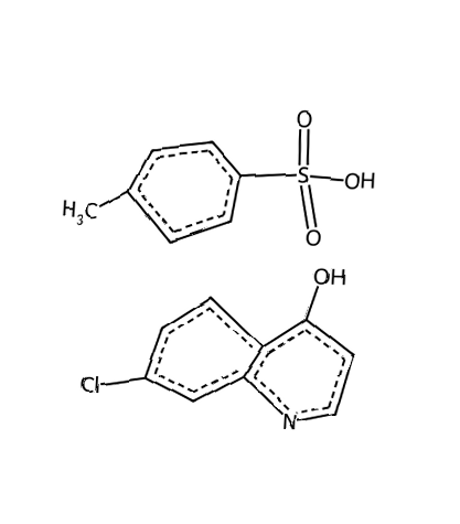 Cc1ccc(S(=O)(=O)O)cc1.Oc1ccnc2cc(Cl)ccc12